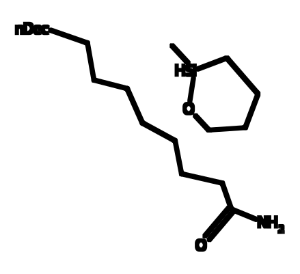 CCCCCCCCCCCCCCCCCC(N)=O.C[SiH]1CCCCO1